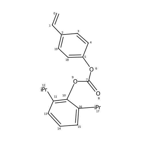 C=Cc1ccc(OC(=O)Oc2c(C(C)C)cccc2C(C)C)cc1